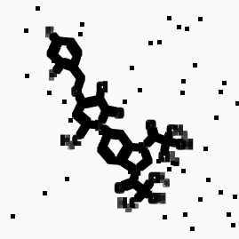 Cc1cc(OCc2ccc(F)cc2F)c(Cl)c(=O)n1-c1ccc2c(c1)N(C(=O)C(C)(C)O)CN2C(=O)C(C)(C)O